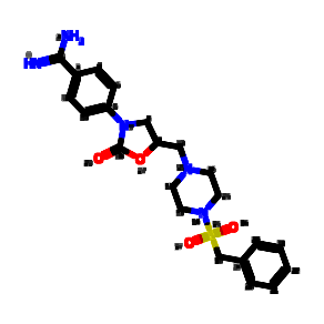 N=C(N)c1ccc(N2CC(CN3CCN(S(=O)(=O)Cc4ccccc4)CC3)OC2=O)cc1